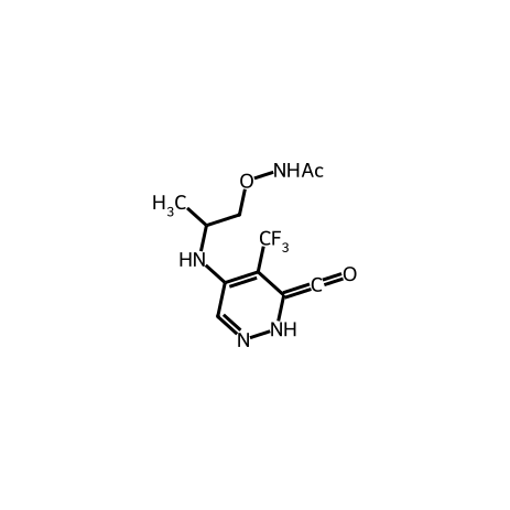 CC(=O)NOCC(C)NC1=C(C(F)(F)F)C(=C=O)NN=C1